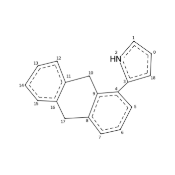 c1c[nH]c(-c2cccc3c2Cc2ccccc2C3)c1